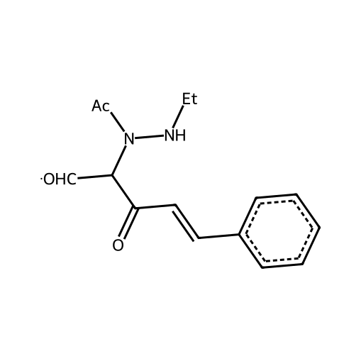 CCNN(C(C)=O)C([C]=O)C(=O)C=Cc1ccccc1